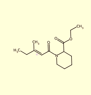 CCOC(=O)C1CCCCN1C(=O)/C=C(\C)CC